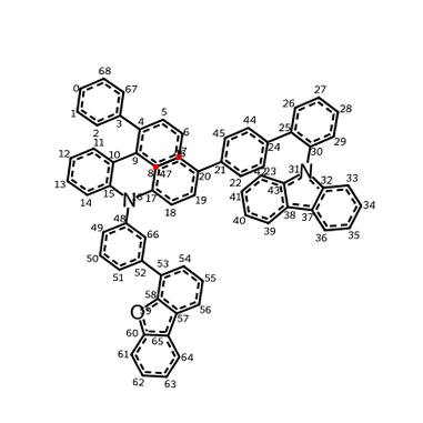 c1ccc(-c2ccccc2-c2ccccc2N(c2ccc(-c3ccc(-c4ccccc4-n4c5ccccc5c5ccccc54)cc3)cc2)c2cccc(-c3cccc4c3oc3ccccc34)c2)cc1